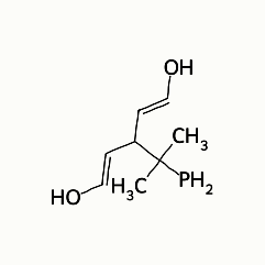 CC(C)(P)C(/C=C/O)/C=C/O